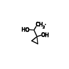 [CH2]C(O)C1(O)CC1